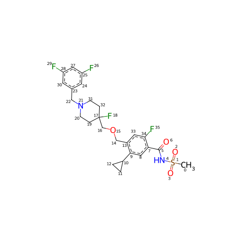 CS(=O)(=O)NC(=O)c1cc(C2CC2)c(COCC2(F)CCN(Cc3cc(F)cc(F)c3)CC2)cc1F